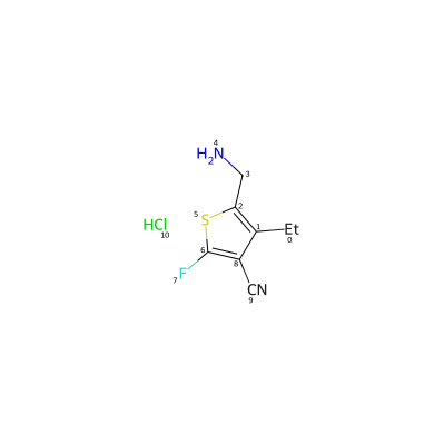 CCc1c(CN)sc(F)c1C#N.Cl